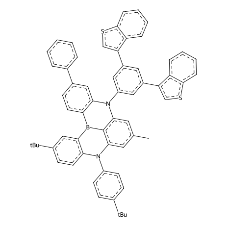 Cc1cc2c3c(c1)N(c1cc(-c4csc5ccccc45)cc(-c4csc5ccccc45)c1)c1cc(-c4ccccc4)ccc1B3c1cc(C(C)(C)C)ccc1N2c1ccc(C(C)(C)C)cc1